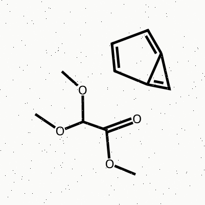 COC(=O)C(OC)OC.c1cc2cc-2c1